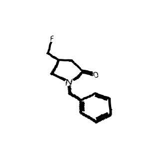 O=C1CC(CF)CN1Cc1ccccc1